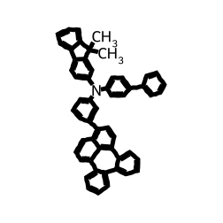 CC1(C)c2ccccc2-c2ccc(N(c3ccc(-c4ccccc4)cc3)c3cccc(-c4ccc5c6c(cccc46)-c4ccccc4-c4ccccc4-5)c3)cc21